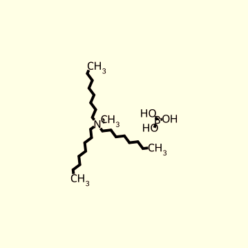 CCCCCCCC[N+](C)(CCCCCCCC)CCCCCCCC.OB(O)O